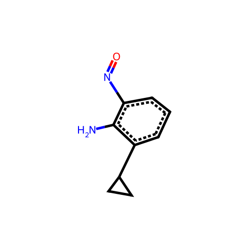 Nc1c(N=O)cccc1C1CC1